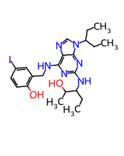 CCC(Nc1nc(NCc2cc(I)ccc2O)c2ncn(C(CC)CC)c2n1)C(C)O